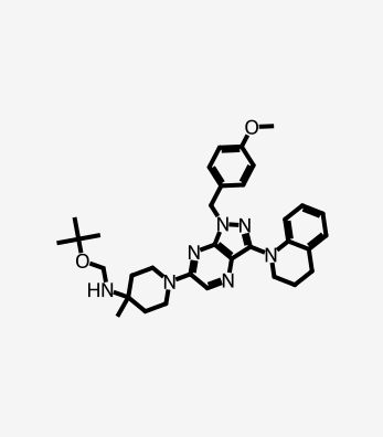 COc1ccc(Cn2nc(N3CCCc4ccccc43)c3ncc(N4CCC(C)(NCOC(C)(C)C)CC4)nc32)cc1